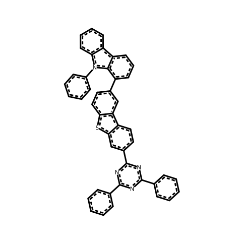 c1ccc(-c2nc(-c3ccccc3)nc(-c3ccc4c(c3)sc3ccc(-c5cccc6c7ccccc7n(-c7ccccc7)c56)cc34)n2)cc1